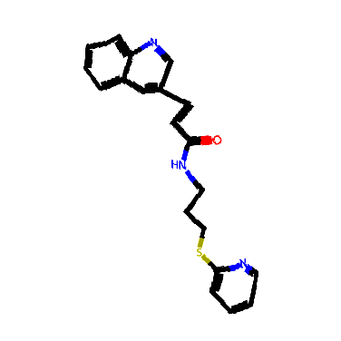 O=C(C=Cc1cnc2ccccc2c1)NCCCSc1ccccn1